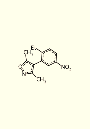 CCc1ccc([N+](=O)[O-])cc1-c1c(C)noc1C